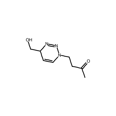 CC(=O)CCN1C=CC(CO)N=N1